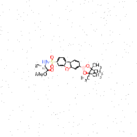 COC(=O)[C@@H](NS(=O)(=O)c1ccc2c(c1)oc1cc(B3OC(C)(C)C(C)(C)O3)ccc12)C(C)C